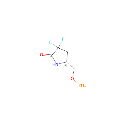 O=C1N[C@@H](COP)CC1(F)F